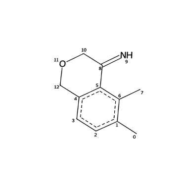 Cc1ccc2c(c1C)C(=N)COC2